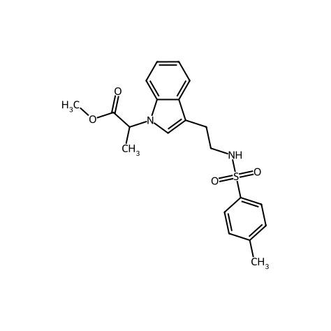 COC(=O)C(C)n1cc(CCNS(=O)(=O)c2ccc(C)cc2)c2ccccc21